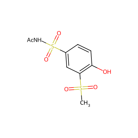 CC(=O)NS(=O)(=O)c1ccc(O)c(S(C)(=O)=O)c1